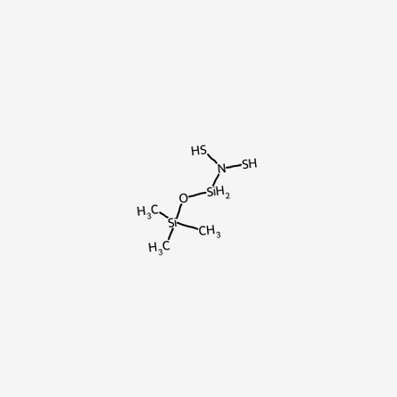 C[Si](C)(C)O[SiH2]N(S)S